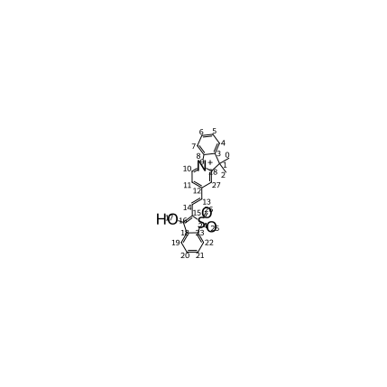 CC1(C)c2ccccc2-[n+]2ccc(/C=C/C3=C(O)c4ccccc4S3(=O)=O)cc21